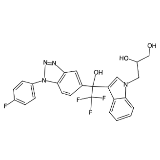 OCC(O)Cn1cc(C(O)(c2ccc3c(c2)nnn3-c2ccc(F)cc2)C(F)(F)F)c2ccccc21